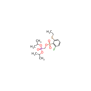 CCSc1cccc(F)c1S(=O)(=O)OCP(=O)(OC(C)C)OC(C)C